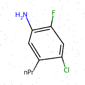 CCCc1cc(N)c(F)cc1Cl